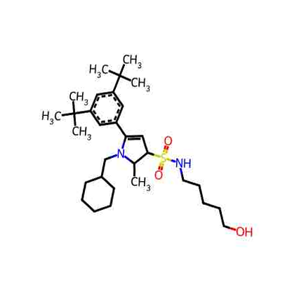 CC1C(S(=O)(=O)NCCCCCO)C=C(c2cc(C(C)(C)C)cc(C(C)(C)C)c2)N1CC1CCCCC1